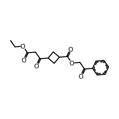 CCOC(=O)CC(=O)C1CC(C(=O)OCC(=O)c2ccccc2)C1